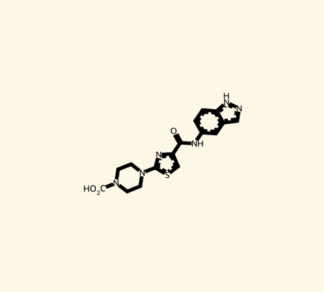 O=C(Nc1ccc2[nH]ncc2c1)c1csc(N2CCN(C(=O)O)CC2)n1